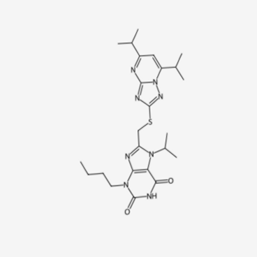 CCCCn1c(=O)[nH]c(=O)c2c1nc(CSc1nc3nc(C(C)C)cc(C(C)C)n3n1)n2C(C)C